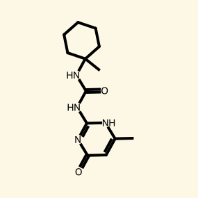 Cc1cc(=O)nc(NC(=O)NC2(C)CCCCC2)[nH]1